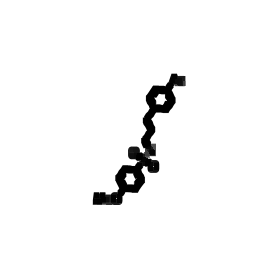 COc1ccc(S(=O)(=O)N=CC=Cc2ccc(C(C)=O)cc2)cc1